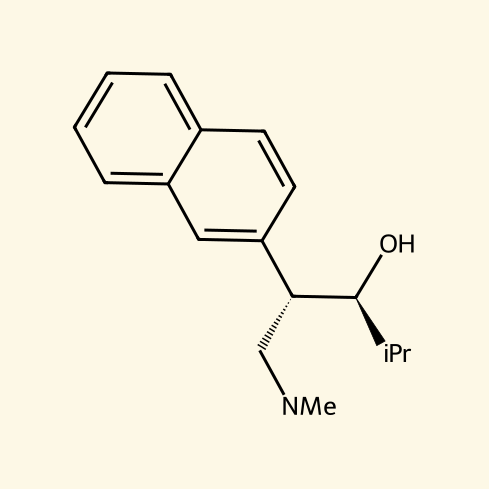 CNC[C@H](c1ccc2ccccc2c1)[C@@H](O)C(C)C